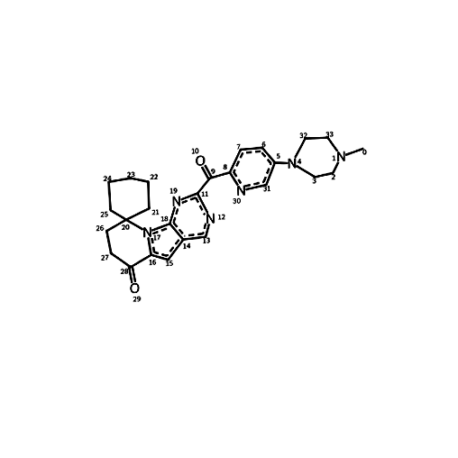 CN1CCN(c2ccc(C(=O)c3ncc4cc5n(c4n3)C3(CCCCC3)CCC5=O)nc2)CC1